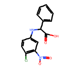 O=C(O)C(Nc1ccc(Cl)c([N+](=O)[O-])c1)c1ccccc1